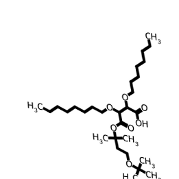 CCCCCCCCOC(C(=O)O)C(OCCCCCCCC)C(=O)OC(C)(C)CCOC(C)(C)C